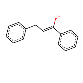 O/C(=C\Cc1ccccc1)c1ccccc1